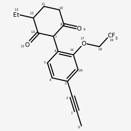 CC#Cc1ccc(C2C(=O)CCC(CC)C2=O)c(OCC(F)(F)F)c1